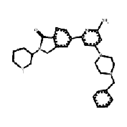 Nc1cc(N2CCN(Cc3ccccc3)CC2)cc(-c2ccc3c(c2)CN(C2CCCNC2)C3=O)n1